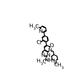 CNc1ncc2cc(-c3ccc(-c4cccc(C)n4)cc3Cl)c(=O)n(CC3CCN(C)CC3)c2n1